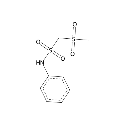 CS(=O)(=O)CS(=O)(=O)Nc1[c]cccc1